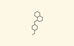 CCC1CCC(CC2CCCC3CCCCC32)CC1